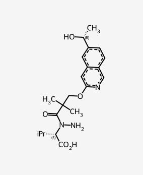 CC(C)[C@@H](C(=O)O)N(N)C(=O)C(C)(C)COc1cc2cc([C@@H](C)O)ccc2cn1